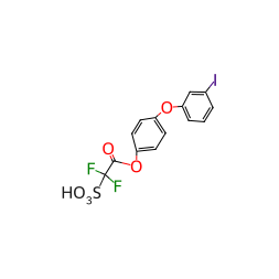 O=C(Oc1ccc(Oc2cccc(I)c2)cc1)C(F)(F)S(=O)(=O)O